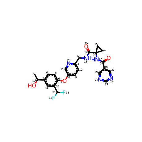 CC(O)c1ccc(Oc2ccc(CNC(=O)C3(NC(=O)c4cncnc4)CC3)nc2)c(C(F)F)c1